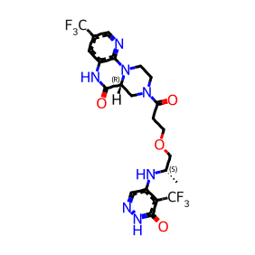 C[C@@H](COCCC(=O)N1CCN2c3ncc(C(F)(F)F)cc3NC(=O)[C@H]2C1)Nc1cn[nH]c(=O)c1C(F)(F)F